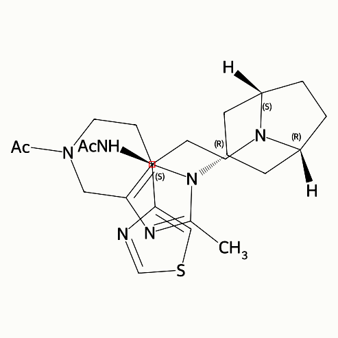 CC(=O)N[C@@H](CCN1[C@@H]2CC[C@H]1C[C@@H](n1c(C)nc3c1CCN(C(C)=O)C3)C2)c1cscn1